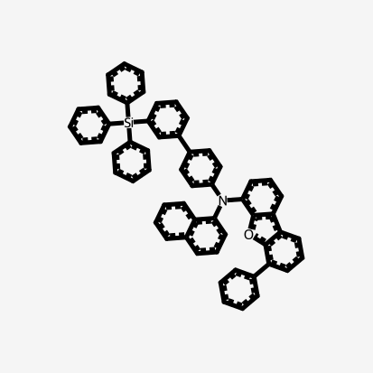 c1ccc(-c2cccc3c2oc2c(N(c4ccc(-c5cccc([Si](c6ccccc6)(c6ccccc6)c6ccccc6)c5)cc4)c4cccc5ccccc45)cccc23)cc1